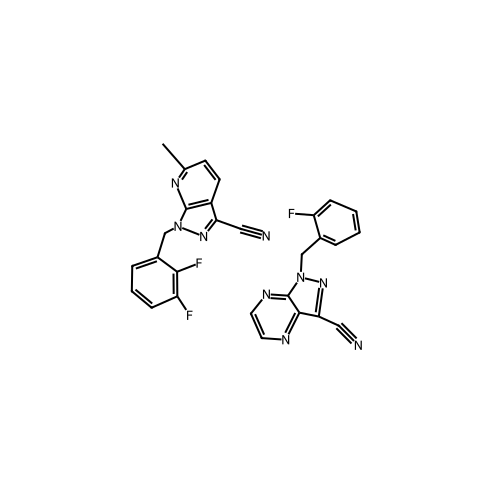 Cc1ccc2c(C#N)nn(Cc3cccc(F)c3F)c2n1.N#Cc1nn(Cc2ccccc2F)c2nccnc12